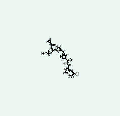 CC(C)(O)Cc1cc(C2CC2)cn2cc(Cn3cc(C(=O)NCc4ncn5ccc(Cl)cc45)cn3)nc12